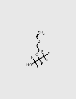 C=COCCOC(F)(C(O)(F)F)C(F)(F)F